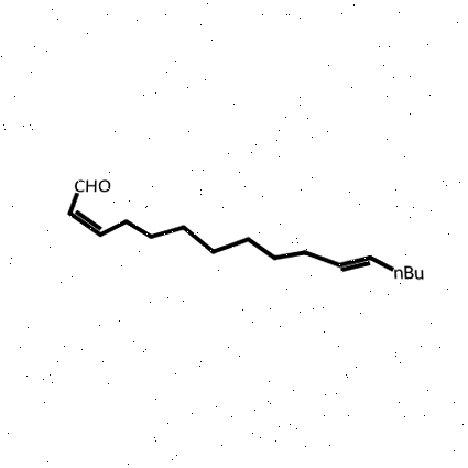 CCCCC=CCCCCCCC/C=C\C=O